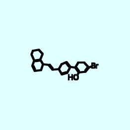 OC1=C(C2=CCC(/C=C/C3CC=CC4=C3CCCC4)C=C2)CCC(Br)=C1